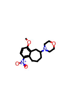 COc1ccc([N+](=O)[O-])c2c1CC(N1CCOCC1)CCC2